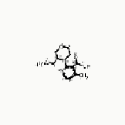 COC[C@H]1COCCN1c1nccc(C)c1C(=O)O